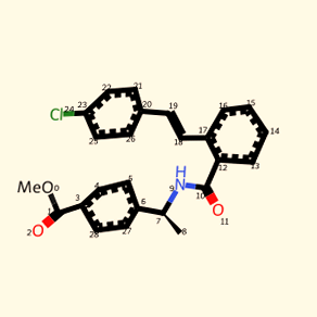 COC(=O)c1ccc([C@H](C)NC(=O)c2ccccc2/C=C/c2ccc(Cl)cc2)cc1